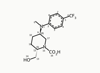 CN(c1ccc(C(F)(F)F)cc1)[C@@H]1CC[C@@H](CO)N(C(=O)O)C1